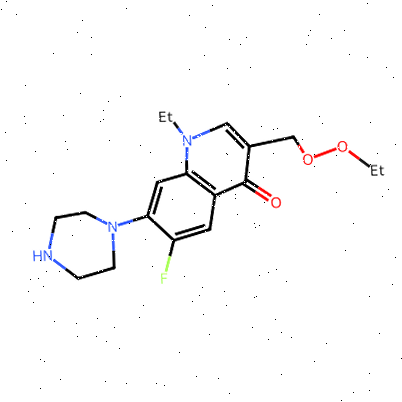 CCOOCc1cn(CC)c2cc(N3CCNCC3)c(F)cc2c1=O